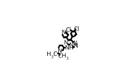 CC(C)N1CCCC(Nc2nc(-c3ccncc3)c(-c3ccc(Cl)c(Cl)c3)c3nncn23)C1